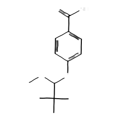 COC(Oc1ccc(C(N)=O)cc1)C(C)(C)C